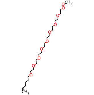 C=CCCCCOCCOCCOCCOCCOCCOCCOCCOCCOOC